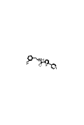 O=C(NCCc1cccc(F)c1)c1ccc(-c2ccncc2)s1